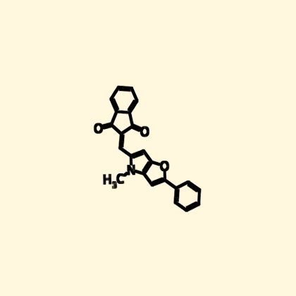 Cn1c(C=C2C(=O)c3ccccc3C2=O)cc2oc(-c3ccccc3)cc21